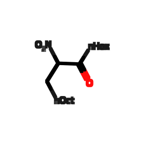 CCCCCCCCCC(C(=O)CCCCCC)[N+](=O)[O-]